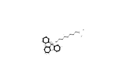 COC(=O)CCCCCCCCOC(c1ccccc1)(c1ccccc1)c1ccccc1